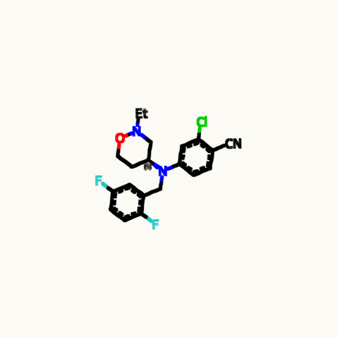 CCN1C[C@@H](N(Cc2cc(F)ccc2F)c2ccc(C#N)c(Cl)c2)CCO1